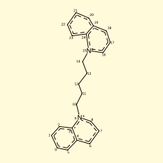 c1ccc2c(c1)ccc[n+]2CCCCC[n+]1cccc2ccccc21